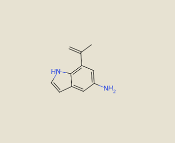 C=C(C)c1cc(N)cc2cc[nH]c12